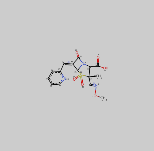 CO/N=C/[C@@]1(C)[C@H](C(=O)O)N2C(=O)/C(=C/c3ccccn3)C2S1(=O)=O